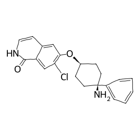 N[C@]1(c2ccccc2)CC[C@H](Oc2cc3cc[nH]c(=O)c3cc2Cl)CC1